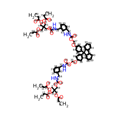 C=CC(=O)OCC(COC(=O)C=C)(COC(=O)C=C)COC(=O)NCc1cccc(CNC(=O)OCOc2ccc(C3(c4ccc(OCOC(=O)NCc5cccc(CNC(=O)OCC(COC(=O)C=C)(COC(=O)C=C)COC(=O)C=C)c5)cc4)c4ccccc4-c4ccccc43)cc2)c1